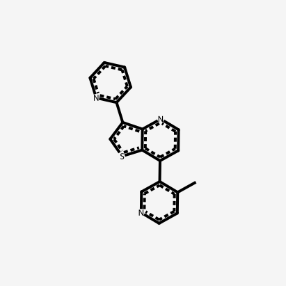 Cc1ccncc1-c1ccnc2c(-c3ccccn3)csc12